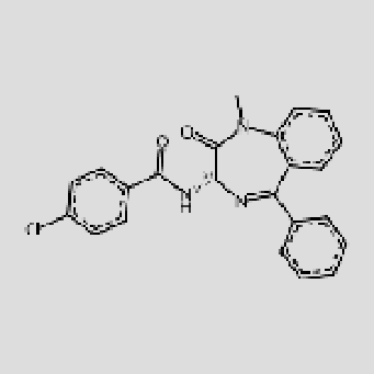 CN1C(=O)[C@@H](NC(=O)c2ccc(Cl)cc2)N=C(c2ccccc2)c2ccccc21